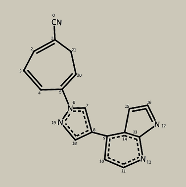 N#CC1=CC=CC(n2cc(-c3ccnc4c3C=C=N4)cn2)=CC1